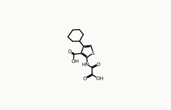 O=C(O)C(=O)Nc1scc(C2CCCCC2)c1C(=O)O